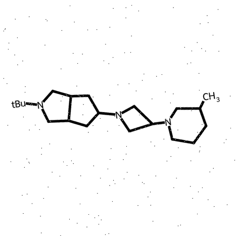 CC1CCCN(C2CN(C3CC4CN(C(C)(C)C)CC4C3)C2)C1